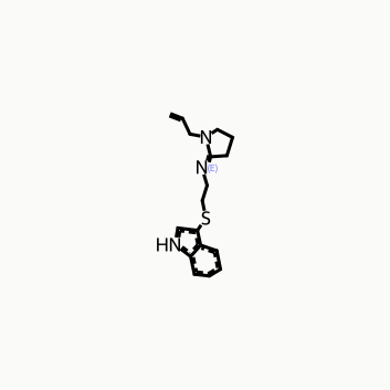 C=CCN1CCC/C1=N\CCSc1c[nH]c2ccccc12